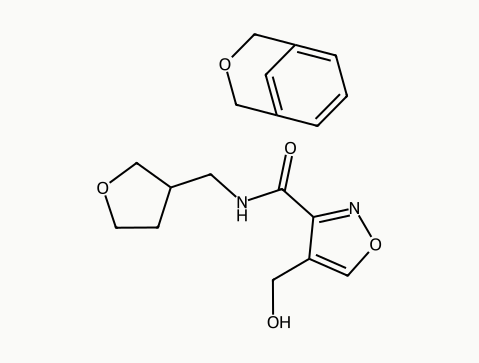 O=C(NCC1CCOC1)c1nocc1CO.c1cc2cc(c1)COC2